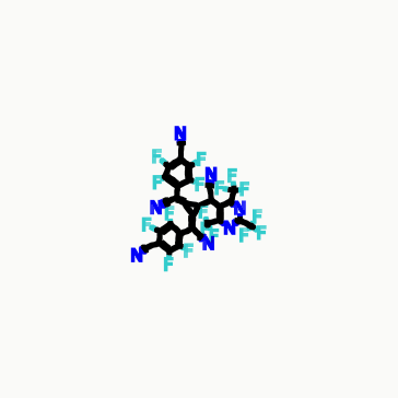 N#C/C(=C1\C(=C(\C#N)c2c(F)c(F)c(C#N)c(F)c2F)C1C(C#N)c1c(C(F)(F)F)nc(C(F)(F)F)nc1C(F)(F)F)c1c(F)c(F)c(C#N)c(F)c1F